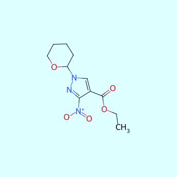 CCOC(=O)c1cn(C2CCCCO2)nc1[N+](=O)[O-]